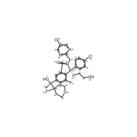 C[C@@](O)(c1cc(F)c2c(c1)C(=O)N(Cc1ncc(Cl)cn1)[C@@]2(OCCO)c1ccc(Cl)cc1)C1(F)CCOCC1